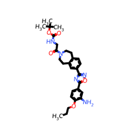 CCCOc1ccc(-c2nc(-c3ccc4c(c3)CCN(C(=O)CNC(=O)OC(C)(C)C)CC4)no2)cc1N